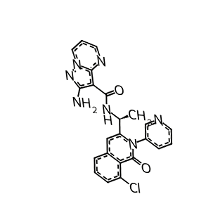 C[C@H](NC(=O)c1c(N)nn2cccnc12)c1cc2cccc(Cl)c2c(=O)n1-c1cccnc1